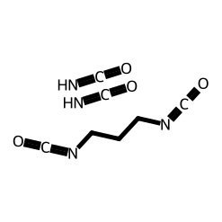 N=C=O.N=C=O.O=C=NCCCN=C=O